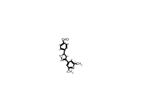 Cc1cc(C2=NOC(c3ccc([C]=O)cc3)C2)cc(C)n1